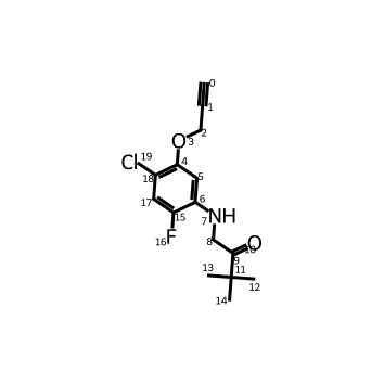 C#CCOc1cc(NCC(=O)C(C)(C)C)c(F)cc1Cl